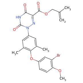 C=C(C)COC(=O)c1nn(-c2cc(C)c(Oc3ccc(OC)c(Br)c3)c(C)c2)c(=O)[nH]c1=O